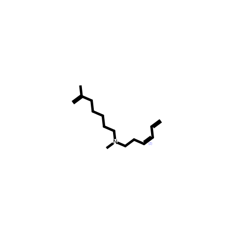 C=C/C=C\CCN(C)CCCCCC(=C)C